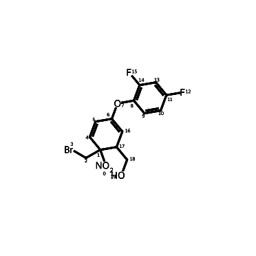 O=[N+]([O-])C1(CBr)C=CC(Oc2ccc(F)cc2F)=CC1CO